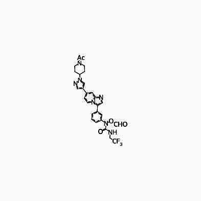 CC(=O)N1CCC(n2cc(-c3ccn4c(-c5cccc(N(OC=O)C(=O)NCC(F)(F)F)c5)cnc4c3)cn2)CC1